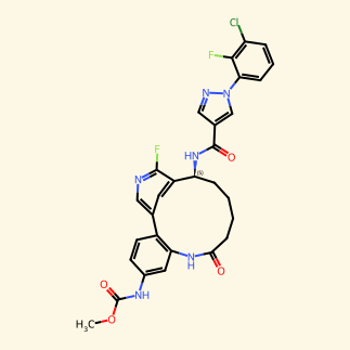 COC(=O)Nc1ccc2c(c1)NC(=O)CCCC[C@H](NC(=O)c1cnn(-c3cccc(Cl)c3F)c1)c1cc-2cnc1F